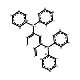 C=C/C(=C\C(=C/C)N(c1ccccc1)c1ccccc1)N(c1ccccc1)c1ccccc1